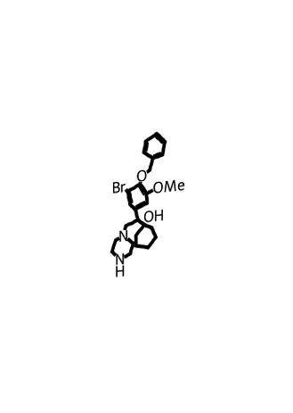 COc1cc(C(CN2CCNCC2)C2(O)CCCCC2)cc(Br)c1OCc1ccccc1